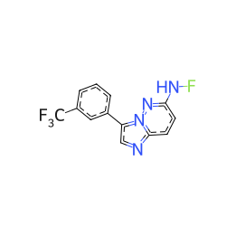 FNc1ccc2ncc(-c3cccc(C(F)(F)F)c3)n2n1